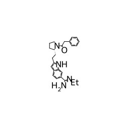 CCN=C(N)c1ccc2cc(CC[C@@H]3CCCN3C(=O)Cc3ccccc3)[nH]c2c1